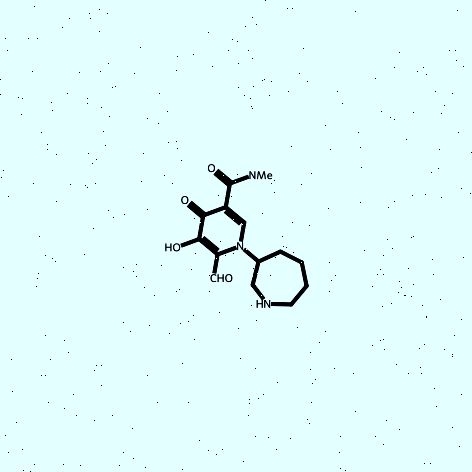 CNC(=O)c1cn(C2CCCCNC2)c(C=O)c(O)c1=O